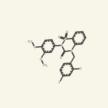 COc1ccc(N2C(=O)N(Cc3ccc(F)cc3Cl)c3ccccc3S2(=O)=O)cc1OC